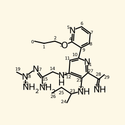 CCCOc1ncccc1-c1cc(NC/C(N)=N/N(C)N)c(NC(C)CC)c(C(C)=N)n1